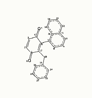 O=C1C=CC(=O)C(c2cccc3ccccc23)=C1Cc1ccccc1